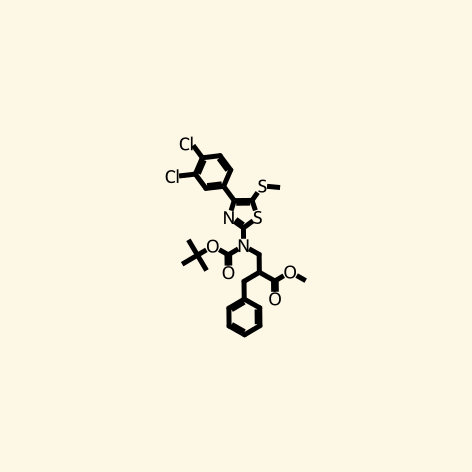 COC(=O)C(Cc1ccccc1)CN(C(=O)OC(C)(C)C)c1nc(-c2ccc(Cl)c(Cl)c2)c(SC)s1